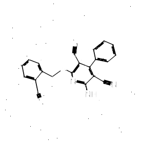 N#Cc1ccccc1CSc1nc(N)c(C#N)c(-c2ccccc2)c1C#N